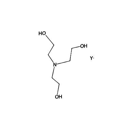 OCCN(CCO)CCO.[Y]